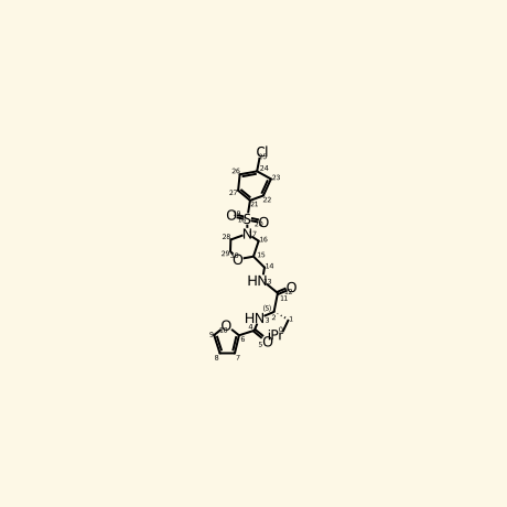 CC(C)C[C@H](NC(=O)c1ccco1)C(=O)NCC1CN(S(=O)(=O)c2ccc(Cl)cc2)CCO1